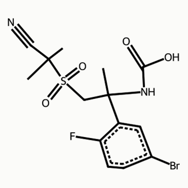 CC(CS(=O)(=O)C(C)(C)C#N)(NC(=O)O)c1cc(Br)ccc1F